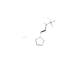 CCCCCCC[C@H]1[C@@H](O)CC[C@@H]1C=CC(O)C(C)(C)CCCC